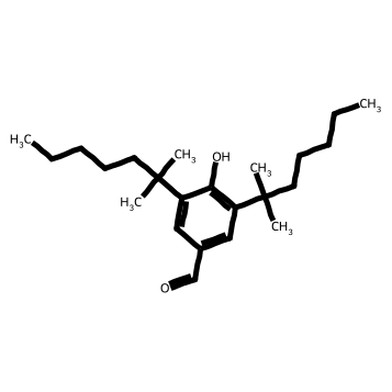 CCCCCC(C)(C)c1cc(C=O)cc(C(C)(C)CCCCC)c1O